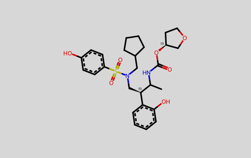 CC(NC(=O)O[C@H]1CCOC1)[C@H](CN(CC1CCCC1)S(=O)(=O)c1ccc(O)cc1)c1ccccc1O